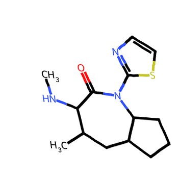 CNC1C(=O)N(c2nccs2)C2CCCC2CC1C